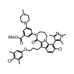 COC(=O)c1cc(N2CCN(C)CC2)cc(N2CCCn3c(c(CCCOc4cc(C)c(Cl)c(C)c4)c4ccc(Cl)c(-c5c(C)nn(C)c5C)c43)C2=O)c1